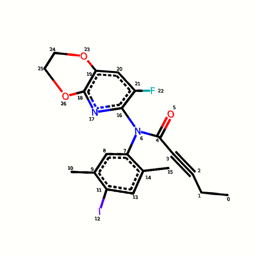 CCC#CC(=O)N(c1cc(C)c(I)cc1C)c1nc2c(cc1F)OCCO2